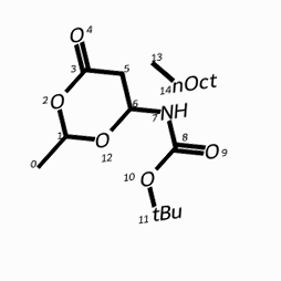 CC1OC(=O)CC(NC(=O)OC(C)(C)C)O1.CCCCCCCCC